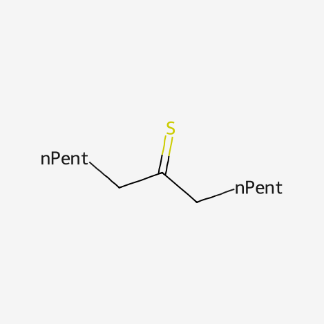 CCCCCCC(=S)CCCCCC